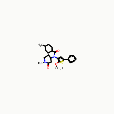 CC1CCC(C(=O)N(c2cc(-c3ccccc3)sc2OC(=O)O)C2CCN(C)C(=O)C2)CC1